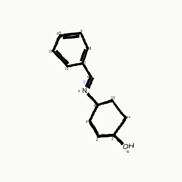 OC1CCC(/N=C/c2ccccc2)CC1